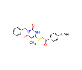 COc1ccc(C(=O)CSc2[nH]c(=O)n(Cc3ccccc3)c(=O)c2C)cc1